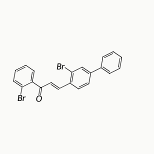 O=C(/C=C/c1ccc(-c2ccccc2)cc1Br)c1ccccc1Br